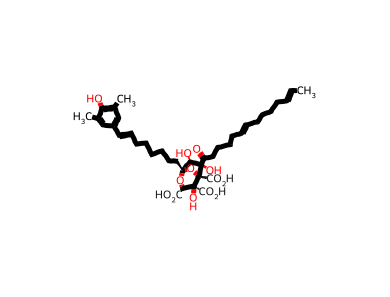 CC=CCCCCC=CCCCCC(=O)[C@@]1(O)[C@@H](O)[C@@]2(CCCCCCC=Cc3cc(C)c(O)c(C)c3)O[C@H](C(=O)O)[C@@](O)(C(=O)O)[C@]1(C(=O)O)O2